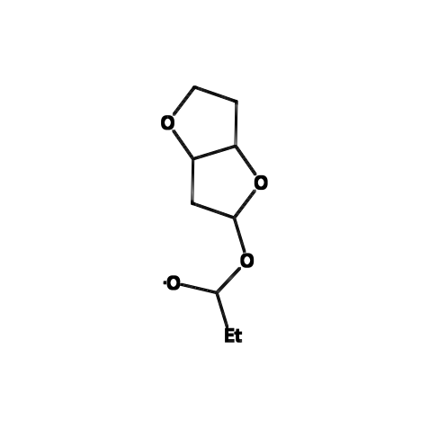 CCC([O])OC1CC2OCCC2O1